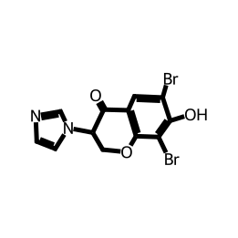 O=C1c2cc(Br)c(O)c(Br)c2OCC1n1ccnc1